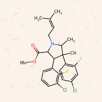 CC(C)=CCN1C(C(=O)OC(C)(C)C)C(c2cccc(Cl)c2F)C(C#N)(c2ccc(Cl)cc2F)C1C